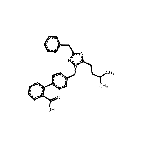 CC(C)CCc1nc(Cc2ccccc2)nn1Cc1ccc(-c2ccccc2C(=O)O)cc1